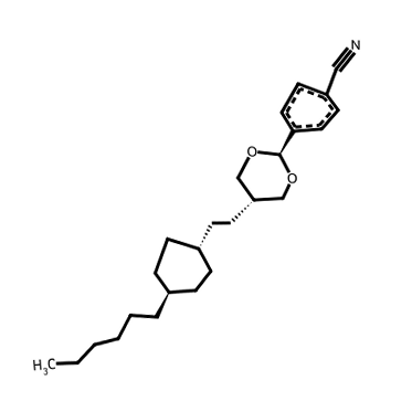 CCCCCC[C@H]1CC[C@H](CC[C@H]2CO[C@H](c3ccc(C#N)cc3)OC2)CC1